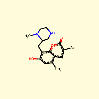 CC(=O)c1cc2c(C)cc(O)c(CC3CNCCN3C)c2oc1=O